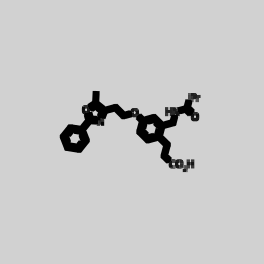 Cc1oc(-c2ccccc2)nc1CCOc1ccc(CCC(=O)O)c(CNC(=O)C(C)C)c1